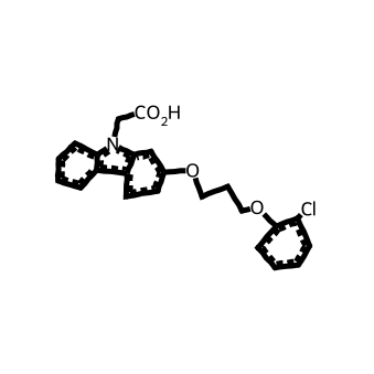 O=C(O)Cn1c2ccccc2c2ccc(OCCCOc3ccccc3Cl)cc21